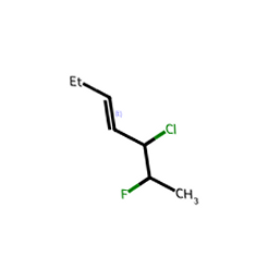 CC/C=C/C(Cl)C(C)F